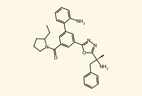 CCC1CCCN1C(=O)c1cc(-c2nnc([C@](C)(N)Cc3ccccc3)o2)cc(-c2ccccc2N)c1